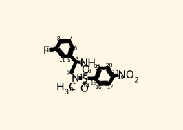 CN(CC(N)c1cccc(F)c1)S(=O)(=O)c1ccc([N+](=O)[O-])cc1